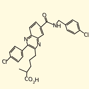 CC(CCCc1nc2cc(C(=O)NCc3ccc(Cl)cc3)ccc2nc1-c1ccc(Cl)cc1)C(=O)O